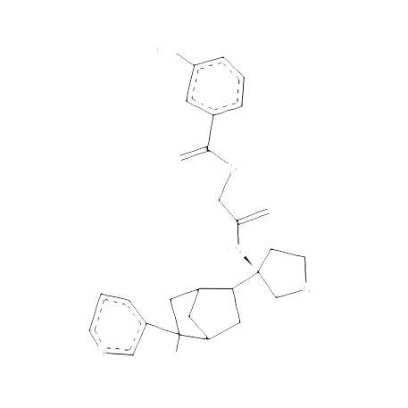 O=C(CNC(=O)c1cccc(C(F)(F)F)c1)N[C@@]1(C2CC3CC2CC3(O)c2cccnc2)CCNC1